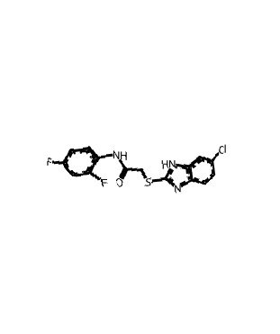 O=C(CSc1nc2ccc(Cl)cc2[nH]1)Nc1ccc(F)cc1F